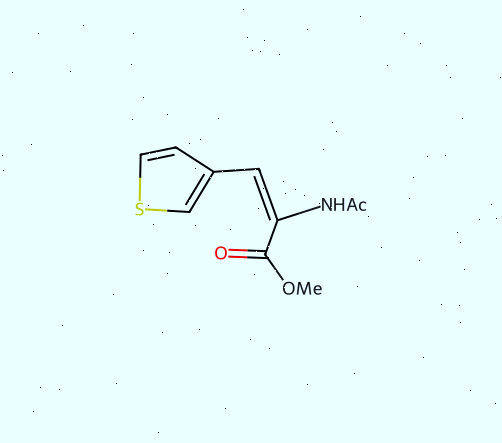 COC(=O)C(=Cc1ccsc1)NC(C)=O